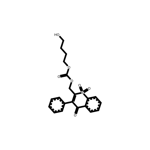 O=C(OCCCCO)OCC1=C(c2ccccc2)C(=O)c2ccccc2S1(=O)=O